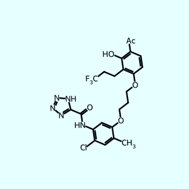 CC(=O)c1ccc(OCCCOc2cc(NC(=O)c3nnn[nH]3)c(Cl)cc2C)c(CCC(F)(F)F)c1O